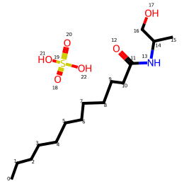 CCCCCCCCCCCC(=O)NC(C)CO.O=S(=O)(O)O